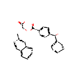 O=C(O[C@H](Cc1ccc2ccccc2c1)C(=O)O)c1ccc(C(O)c2ccccc2)cc1